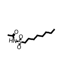 CCCCCCCCS(=O)(=O)NC(C)=O